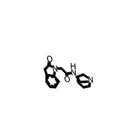 O=C(CN1C(=O)Cc2ccccc21)NC1CN2CCC1CC2